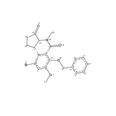 COc1cc(Br)nc(C(=O)N(C)C2CCCC2=O)c1OCc1ccccc1